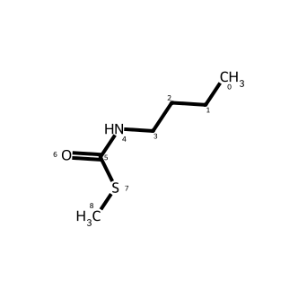 CCCCNC(=O)SC